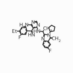 C=C1c2cc(F)ccc2N=C(C(C)Nc2ncnc(N)c2C(=N)c2ccc(CC)c(F)c2)N1C1CCCC1